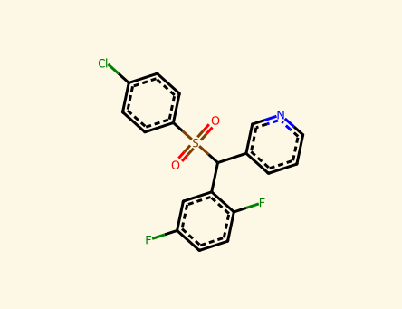 O=S(=O)(c1ccc(Cl)cc1)C(c1cccnc1)c1cc(F)ccc1F